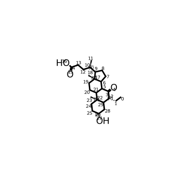 CC[C@H]1C(=O)C2C3CCC([C@H](C)CCC(=O)O)[C@@]3(C)CCC2[C@@]2(C)CC[C@@H](O)CC12